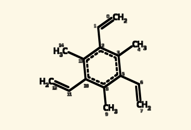 C=Cc1c(C)c(C=C)c(C)c(C=C)c1C